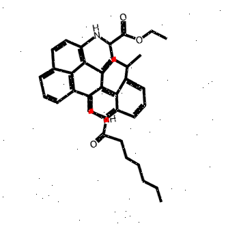 CCCCCCC(=O)NCCc1cccc2ccc3c(c12)C(c1cccc2cccc(C(C)C)c12)=CC(C(=O)OCC)N3